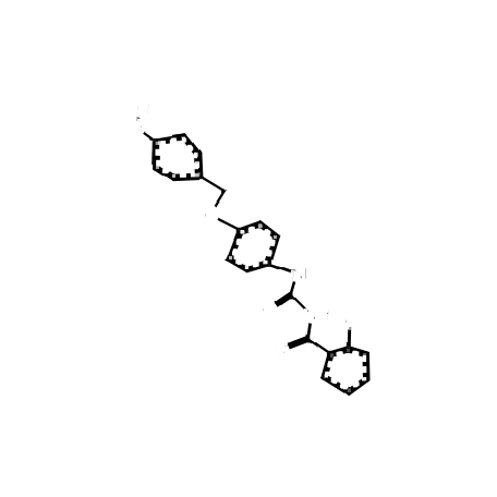 O=C(NC(=O)c1ccccc1Cl)Nc1ccc(OCc2ccc(OC(F)(F)F)cc2)cc1